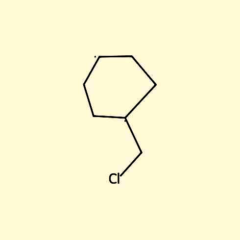 ClC[C]1CC[CH]CC1